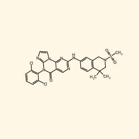 CC1(C)CN(S(C)(=O)=O)Cc2cc(Nc3ncc4c(=O)n(-c5c(Cl)cccc5Cl)c5nccn5c4n3)ccc21